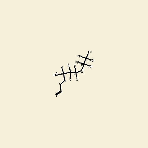 C=CCCC(C)(O)C(F)(F)C(F)(F)OC(F)(Cl)C(F)(F)Cl